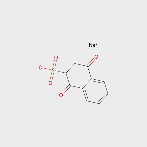 O=C1CC(S(=O)(=O)[O-])C(=O)c2ccccc21.[Na+]